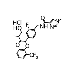 CC(CO)C(=O)C(Oc1ccccc1C(F)(F)F)c1ccc(CNC(=O)c2cn(C)cn2)c(F)c1.Cl